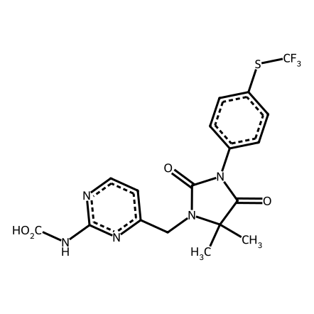 CC1(C)C(=O)N(c2ccc(SC(F)(F)F)cc2)C(=O)N1Cc1ccnc(NC(=O)O)n1